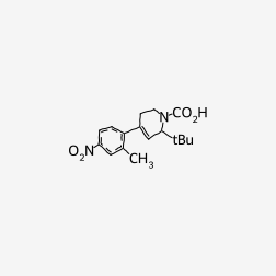 Cc1cc([N+](=O)[O-])ccc1C1=CC(C(C)(C)C)N(C(=O)O)CC1